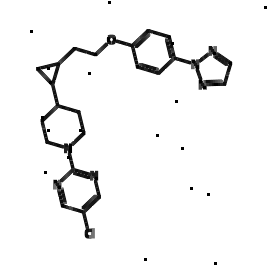 Clc1cnc(N2CCC(C3CC3CCOc3ccc(-n4nccn4)cc3)CC2)nc1